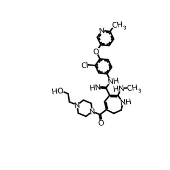 CNC1=C(C(=N)Nc2ccc(Oc3ccc(C)nc3)c(Cl)c2)C=C(C(=O)N2CCN(CCO)CC2)CCN1